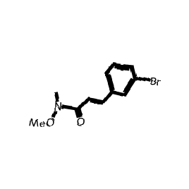 CON(C)C(=O)/C=C/c1cccc(Br)c1